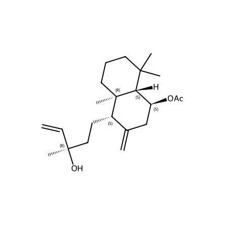 C=C[C@](C)(O)CC[C@H]1C(=C)C[C@H](OC(C)=O)[C@H]2C(C)(C)CCC[C@]12C